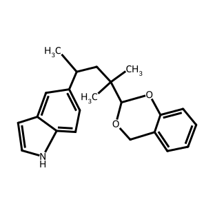 CC(CC(C)(C)C1OCc2ccccc2O1)c1ccc2[nH]ccc2c1